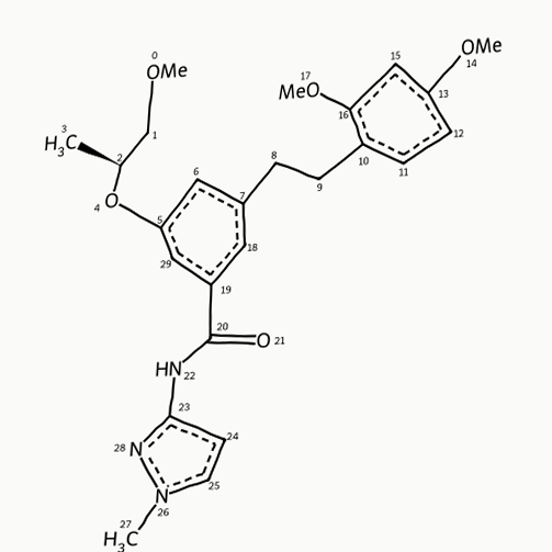 COC[C@H](C)Oc1cc(CCc2ccc(OC)cc2OC)cc(C(=O)Nc2ccn(C)n2)c1